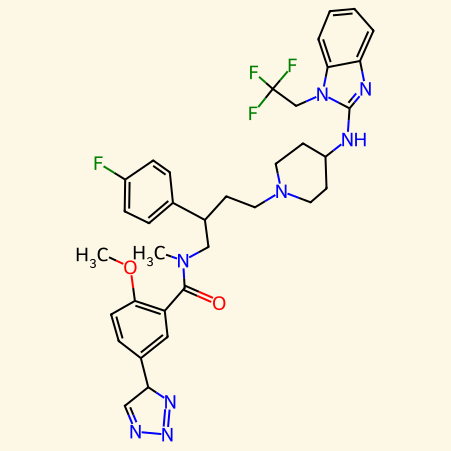 COc1ccc(C2C=NN=N2)cc1C(=O)N(C)CC(CCN1CCC(Nc2nc3ccccc3n2CC(F)(F)F)CC1)c1ccc(F)cc1